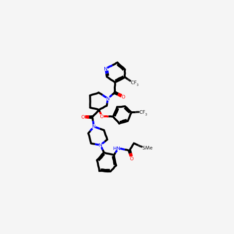 CSCC(=O)Nc1ccccc1N1CCN(C(=O)C2(Oc3ccc(C(F)(F)F)cc3)CCCN(C(=O)c3cnccc3C(F)(F)F)C2)CC1